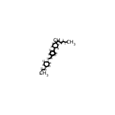 CCCCCC1(C)CCC(c2ccc(CC[C@H]3CC[C@H](CCC)CC3)cc2)CC1